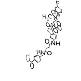 C[C@H](N(Cc1ccc(F)cc1)C(=O)CN1C(=O)O[C@@]2(CCc3cc(NC(=O)CCC(=O)NCc4ccc(C(=O)C5CCCC5)cc4)ccc32)C1=O)C(F)(F)F